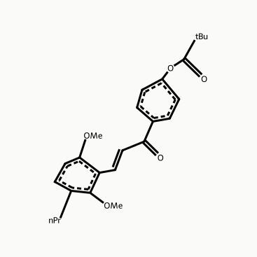 CCCc1ccc(OC)c(/C=C/C(=O)c2ccc(OC(=O)C(C)(C)C)cc2)c1OC